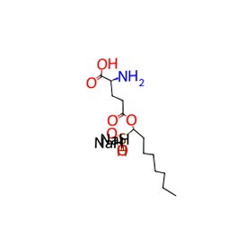 CCCCCCCC(OC(=O)CC[C@H](N)C(=O)O)[SH](=O)=O.[NaH].[NaH]